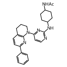 CC(=O)NC1CCC(Nc2nccc(N3CCCc4ccc(-c5ccccc5)nc43)n2)CC1